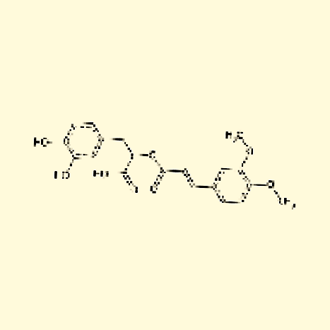 COc1ccc(C=CC(=O)OC(Cc2ccc(O)c(O)c2)C(=O)O)cc1OC